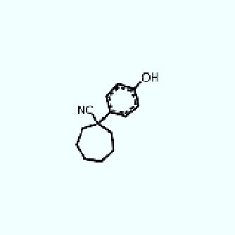 N#CC1(c2ccc(O)cc2)CCCCCC1